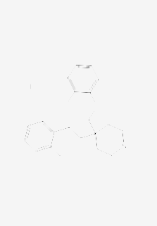 Cl.Fc1ccccc1CCC1(COc2ccccc2F)CCNCC1